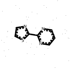 [c]1csc(-c2ncccn2)n1